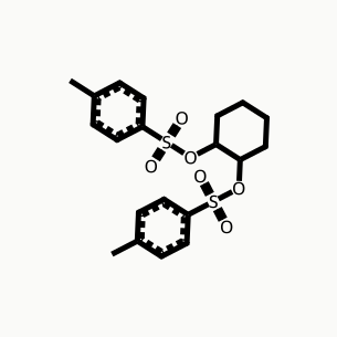 Cc1ccc(S(=O)(=O)OC2CCCCC2OS(=O)(=O)c2ccc(C)cc2)cc1